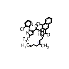 C=CCC/C(C)=C/CNC(=O)c1cc2ccccc2c(Cl)c1NC(=O)c1cc(C(F)(F)F)nn1-c1ncccc1Cl